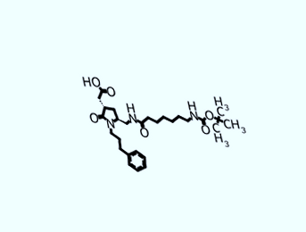 CC(C)(C)OC(=O)NCCCCCCC(=O)NC[C@@H]1C[C@@H](CC(=O)O)C(=O)N1CCCc1ccccc1